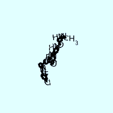 Cc1n[nH]c2ccc(C(=O)Nc3ccc4c(c3)nc(C(F)(F)N3CC=C(c5cccc(OCc6ccc(Cl)cc6F)n5)CC3)n4CC3CCO3)cc12